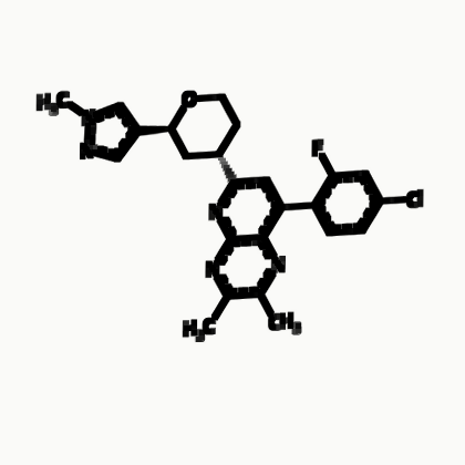 Cc1nc2nc([C@H]3CCO[C@H](c4cnn(C)c4)C3)cc(-c3ccc(Cl)cc3F)c2nc1C